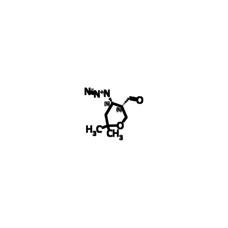 CC1(C)C[C@H](N=[N+]=[N-])[C@H](C=O)CO1